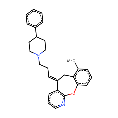 COc1cccc2c1CC(=CCCN1CCC(c3ccccc3)CC1)c1cccnc1O2